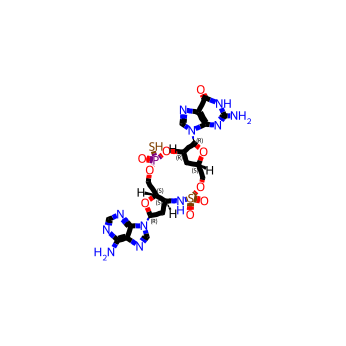 Nc1nc2c(ncn2[C@@H]2O[C@@H]3COS(=O)(=O)N[C@H]4C[C@H](n5cnc6c(N)ncnc65)O[C@@H]4COP(=O)(S)O[C@@H]2C3)c(=O)[nH]1